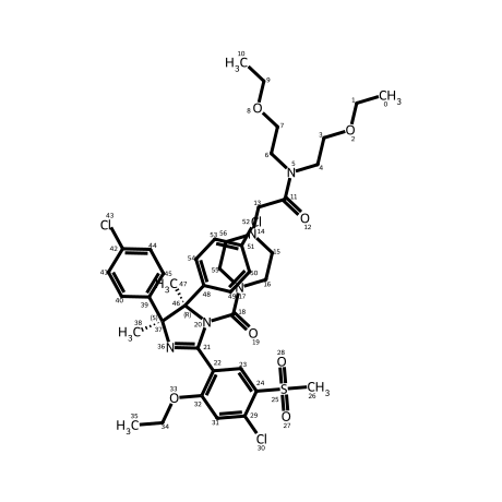 CCOCCN(CCOCC)C(=O)CN1CCN(C(=O)N2C(c3cc(S(C)(=O)=O)c(Cl)cc3OCC)=N[C@@](C)(c3ccc(Cl)cc3)[C@@]2(C)c2ccc(Cl)cc2)CC1